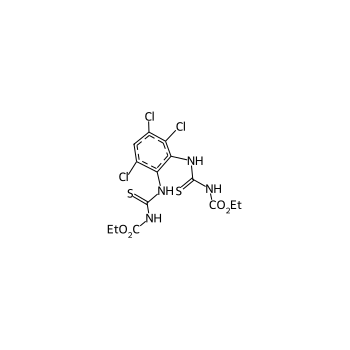 CCOC(=O)NC(=S)Nc1c(Cl)cc(Cl)c(Cl)c1NC(=S)NC(=O)OCC